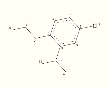 [CH2]CCc1ccc(Cl)cc1C(C)C